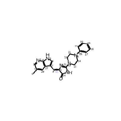 Cc1cnc2[nH]cc(/C=C3\N=C(N4CCN(c5ccccc5)CC4)NC3=O)c2c1